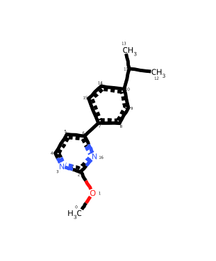 COc1nccc(-c2ccc(C(C)C)cc2)n1